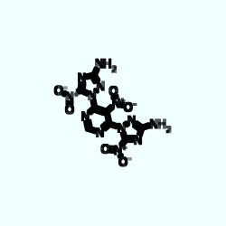 Nc1nc([N+](=O)[O-])n(-c2ncnc(-n3nc(N)nc3[N+](=O)[O-])c2[N+](=O)[O-])n1